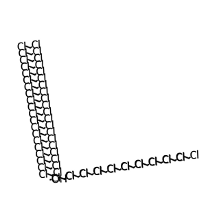 CO.ClCCl.ClCCl.ClCCl.ClCCl.ClCCl.ClCCl.ClCCl.ClCCl.ClCCl.ClCCl.ClCCl.ClCCl.ClCCl.ClCCl.ClCCl.ClCCl.ClCCl.ClCCl.ClCCl.ClCCl.ClCCl.ClCCl.ClCCl.ClCCl.ClCCl.ClCCl.ClCCl.ClCCl.ClCCl.ClCCl